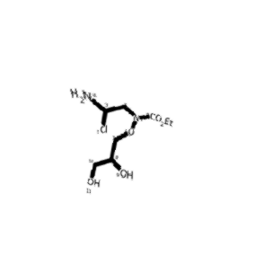 CCOC(=O)N(CC(N)Cl)OCC(O)CO